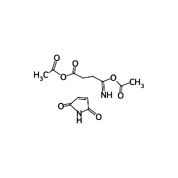 CC(=O)OC(=N)CCC(=O)OC(C)=O.O=C1C=CC(=O)N1